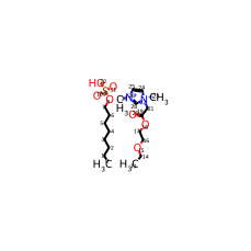 CCCCCCCCOS(=O)(=O)O.CCOCCOC(=O)C[N+]1(C)C=C[N+](C)=C1